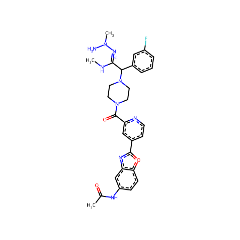 CN/C(=N\N(C)N)C(c1cccc(F)c1)N1CCN(C(=O)c2cc(-c3nc4cc(NC(C)=O)ccc4o3)ccn2)CC1